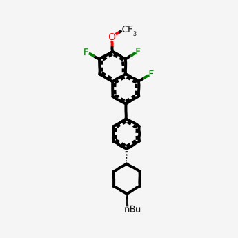 CCCC[C@H]1CC[C@H](c2ccc(-c3cc(F)c4c(F)c(OC(F)(F)F)c(F)cc4c3)cc2)CC1